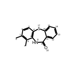 Cc1ccc2c(c1C)NC(=O)c1ccccc1S2